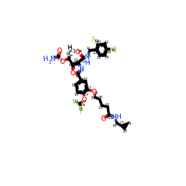 CC(OC(N)=O)c1oc(-c2ccc(OC(F)F)c(OCCCCC(=O)NCC3CC3)c2)nc1C(=O)NCc1ccc(F)cc1F